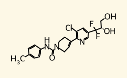 Cc1ccc(NC(=O)N2CC=C(c3ncc(C(F)(F)[C@@H](O)CO)cc3Cl)CC2)cc1